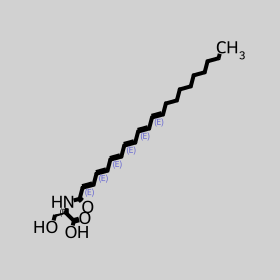 CCCCCCCCC/C=C/C=C/C=C/C=C/C=C/C=C/C(=O)N[C@H](CO)C(=O)O